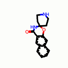 O=C1NC2(CCNCC2)Oc2cc3ccccc3cc21